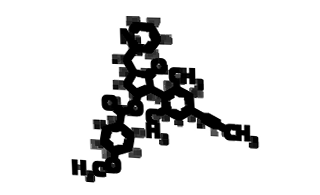 CC#Cc1cc(C)c(C2=C(OC(=O)c3ccc(OC)cc3)CC(Cc3ccccn3)C2=O)c(C)c1